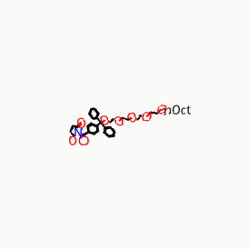 CCCCCCCCOCCOCCOCCOCCOC(c1ccccc1)(c1ccccc1)c1ccc(C(=O)N2C(=O)C=CC2=O)cc1